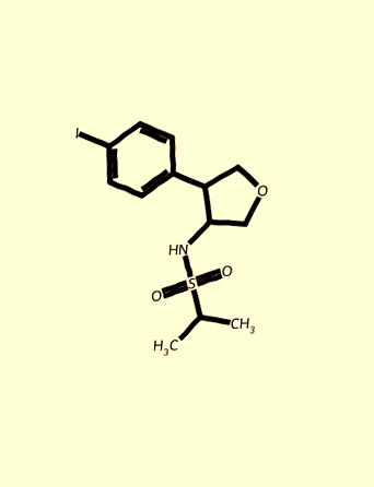 CC(C)S(=O)(=O)NC1COCC1c1ccc(I)cc1